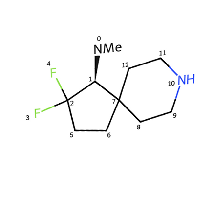 CN[C@@H]1C(F)(F)CCC12CCNCC2